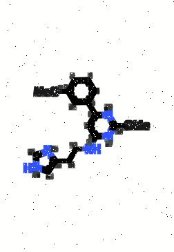 COc1cccc(-c2cc(NCCc3c[nH]cn3)nc(OC)n2)c1